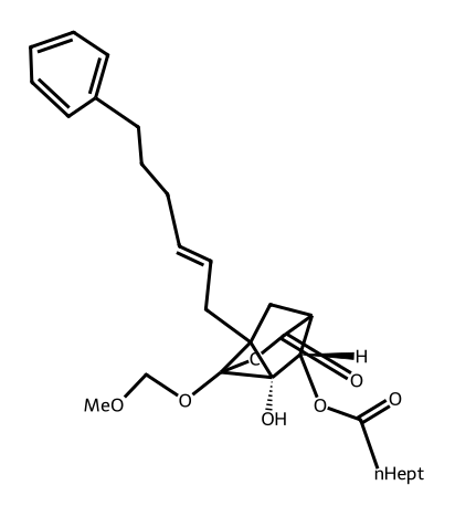 CCCCCCCC(=O)O[C@H]1C2CC3(CC=CCCCc4ccccc4)C(OCOC)(CC2=O)[C@]13O